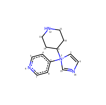 C1=C[N+](c2ccncc2)(C2CCNCC2)C=N1